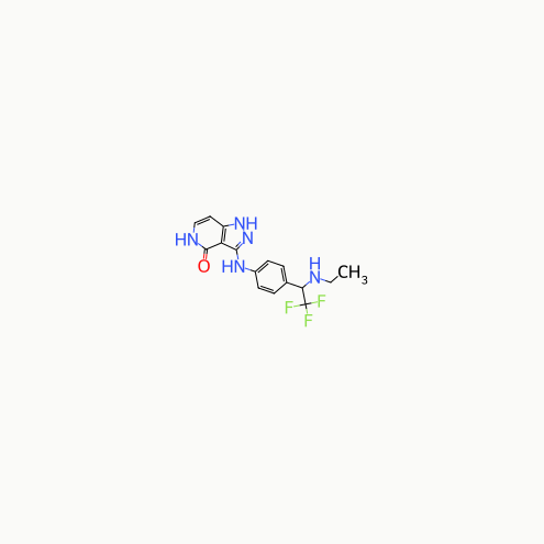 CCNC(c1ccc(Nc2n[nH]c3cc[nH]c(=O)c23)cc1)C(F)(F)F